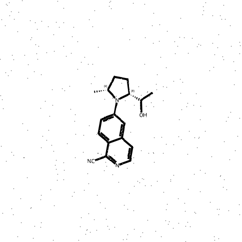 CC(O)[C@H]1CC[C@@H](C)N1c1ccc2c(C#N)nccc2c1